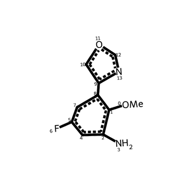 COc1c(N)cc(F)cc1-c1cocn1